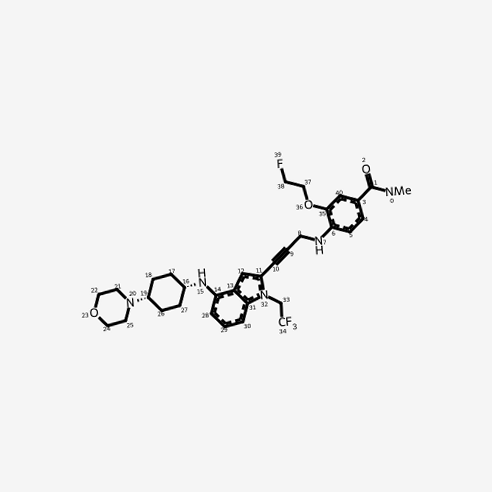 CNC(=O)c1ccc(NCC#Cc2cc3c(N[C@H]4CC[C@@H](N5CCOCC5)CC4)cccc3n2CC(F)(F)F)c(OCCF)c1